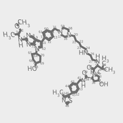 COCC(C)Nc1ncc2c(-c3ccc(CN4CCN(CCCCCNCCN[C@H](C(=O)N5C[C@H](O)C[C@H]5C(=O)NCc5ccc(-c6scnc6C)cc5)C(C)(C)C)CC4)cc3)cn(C3CCC(O)CC3)c2n1